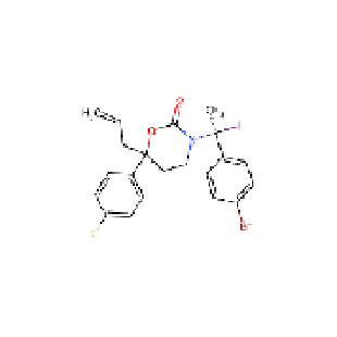 C=CCC1(c2ccc(F)cc2)CCN([C@@](C)(I)c2ccc(Br)cc2)C(=O)O1